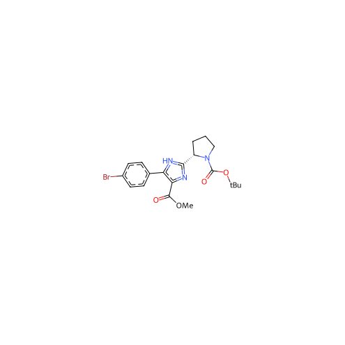 COC(=O)c1nc([C@@H]2CCCN2C(=O)OC(C)(C)C)[nH]c1-c1ccc(Br)cc1